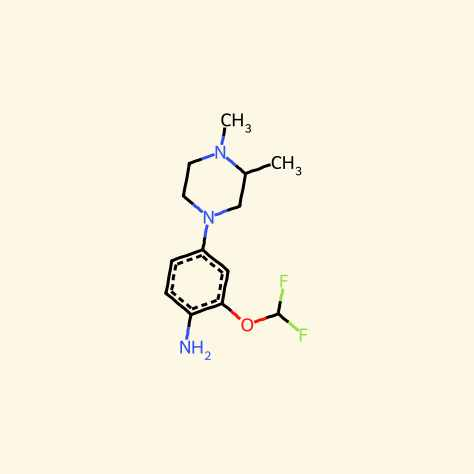 CC1CN(c2ccc(N)c(OC(F)F)c2)CCN1C